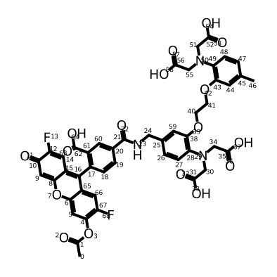 CC(=O)Oc1cc2oc3cc(=O)c(F)cc-3c(-c3ccc(C(=O)NCc4ccc(N(CC(=O)O)CC(=O)O)c(OCCOc5cc(C)ccc5N(CC(=O)O)CC(=O)O)c4)cc3C(=O)O)c2cc1F